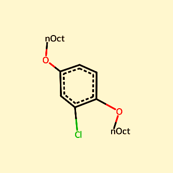 CCCCCCCCOc1ccc(OCCCCCCCC)c(Cl)c1